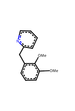 COc1cccc(Cc2ccccn2)c1OC